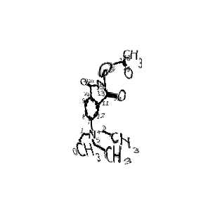 CC[N+](CC)(CC)c1ccc2c(c1)C(=O)N(OC(C)=O)C2=O